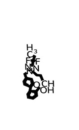 C#CCCc1nc(C(F)(F)CC)nn1Cc1ccc(-c2ccccc2C(=O)O)cc1